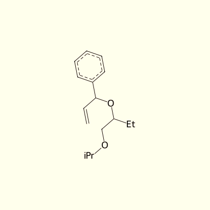 C=CC(OC(CC)COC(C)C)c1ccccc1